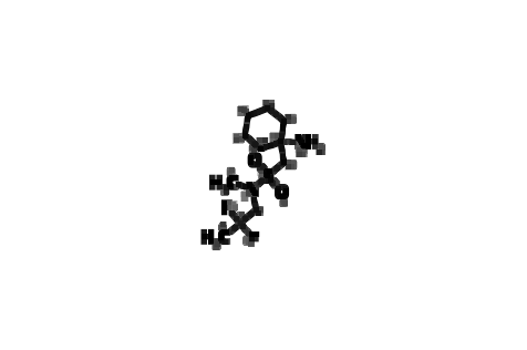 CN(CC(C)(F)F)S(=O)(=O)CC1(N)CCCCC1